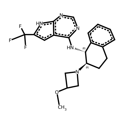 COC1CN([C@@H]2CCc3ccccc3[C@H]2Nc2ncnc3[nH]c(C(F)(F)F)cc23)C1